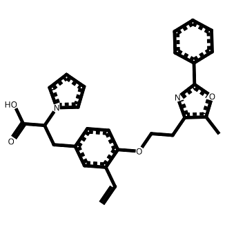 C=Cc1cc(CC(C(=O)O)n2cccc2)ccc1OCCc1nc(-c2ccccc2)oc1C